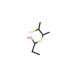 CCC(O)SC(C)C(C)S